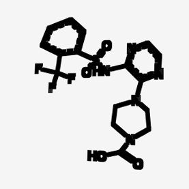 O=C(O)N1CCN(c2nccnc2NS(=O)(=O)c2ccccc2C(F)(F)F)CC1